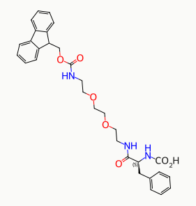 O=C(O)N[C@@H](Cc1ccccc1)C(=O)NCCOCCOCCNC(=O)OCC1c2ccccc2-c2ccccc21